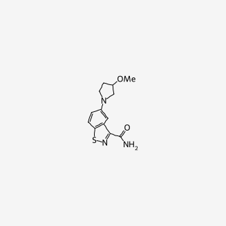 COC1CCN(c2ccc3snc(C(N)=O)c3c2)C1